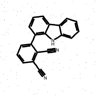 N#Cc1cccc(-c2cccc3c2[nH]c2ccccc23)c1C#N